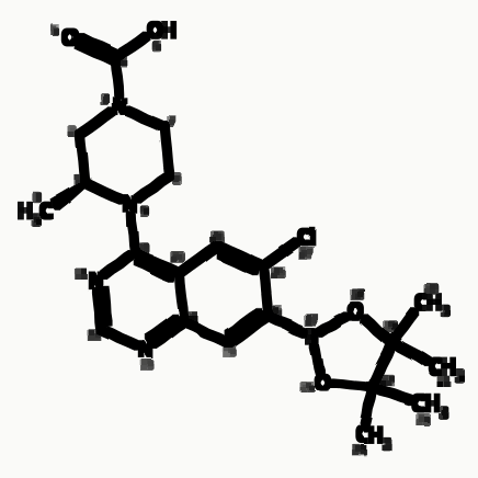 C[C@H]1CN(C(=O)O)CCN1c1ncnc2cc(B3OC(C)(C)C(C)(C)O3)c(Cl)cc12